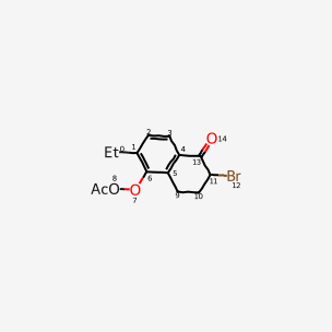 CCc1ccc2c(c1OOC(C)=O)CCC(Br)C2=O